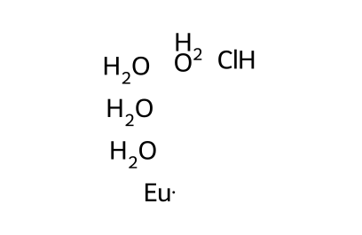 Cl.O.O.O.O.[Eu]